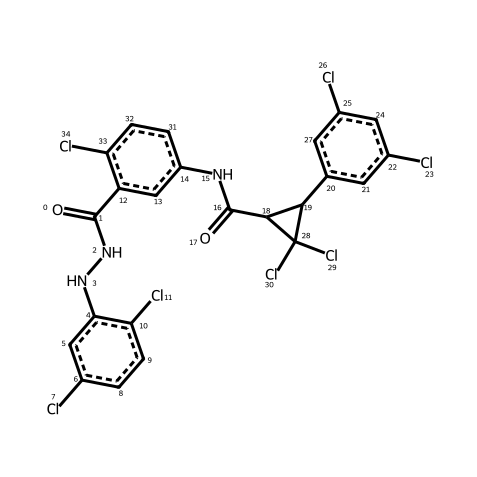 O=C(NNc1cc(Cl)ccc1Cl)c1cc(NC(=O)C2C(c3cc(Cl)cc(Cl)c3)C2(Cl)Cl)ccc1Cl